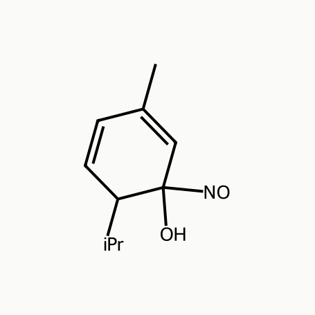 CC1=CC(O)(N=O)C(C(C)C)C=C1